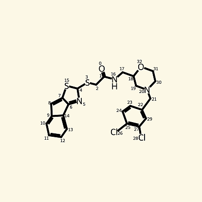 O=C(CSC1N=C2C(=Cc3ccccc32)S1)NCC1CN(Cc2ccc(Cl)c(Cl)c2)CCO1